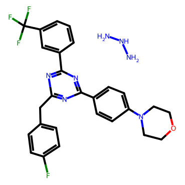 Fc1ccc(Cc2nc(-c3ccc(N4CCOCC4)cc3)nc(-c3cccc(C(F)(F)F)c3)n2)cc1.NNN